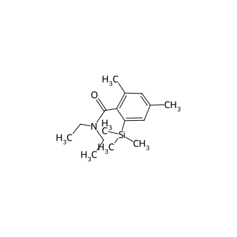 CCN(CC)C(=O)c1c(C)cc(C)cc1[Si](C)(C)C